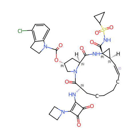 O=C1N[C@]2(C(=O)NS(=O)(=O)C3CC3)C[C@H]2/C=C\CCCCC[C@H](Nc2c(N3CCC3)c(=O)c2=O)C(=O)N2C[C@H](OC(=O)N3CCc4c(Cl)cccc43)C[C@@H]12